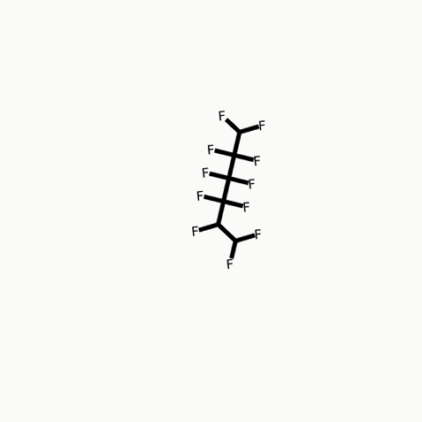 FC(F)C(F)C(F)(F)C(F)(F)C(F)(F)C(F)F